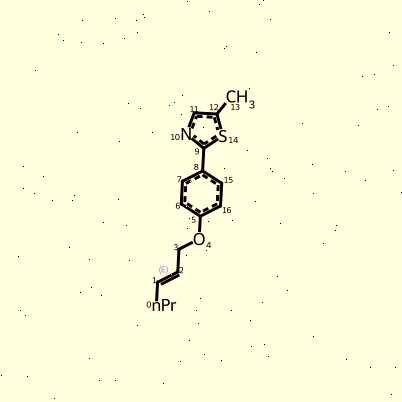 CCC/C=C/COc1ccc(-c2ncc(C)s2)cc1